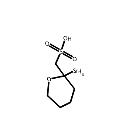 O=S(=O)(O)CC1([SiH3])CCCCO1